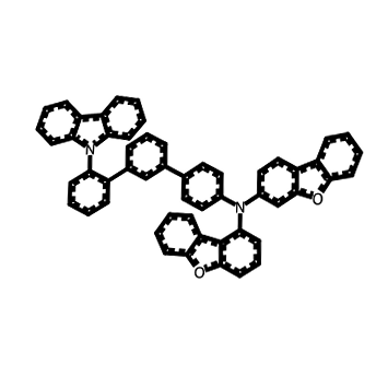 c1cc(-c2ccc(N(c3ccc4c(c3)oc3ccccc34)c3cccc4oc5ccccc5c34)cc2)cc(-c2ccccc2-n2c3ccccc3c3ccccc32)c1